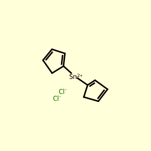 C1=CC[C]([Sn+2][C]2=CC=CC2)=C1.[Cl-].[Cl-]